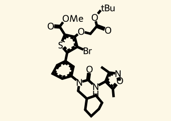 COC(=O)c1sc(-c2cccc(N(CC3CCCCC3)C(=O)Nc3c(C)noc3C)c2)c(Br)c1OCC(=O)OC(C)(C)C